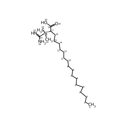 CCCCCCCCCCCCCCCCCC(C(=O)O)[N+](C)(C)C(=N)N